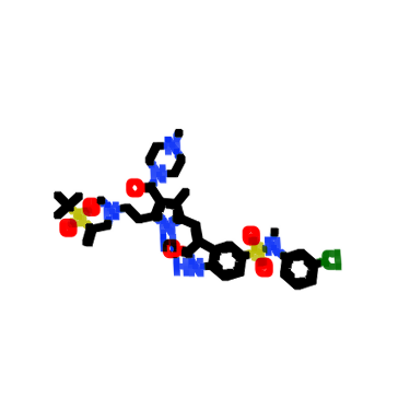 C=C(CN(C)CCc1[nH]c(/C=C2\C(=O)Nc3ccc(S(=O)(=O)N(C)c4cccc(Cl)c4)cc32)c(C)c1C(=O)N1CCN(C)CC1)S(=O)(=O)C(C)(C)C